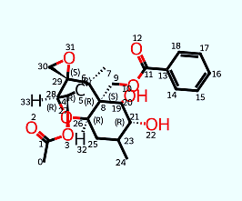 CC(=O)O[C@@H]1C[C@]2(C)[C@@]3(COC(=O)c4ccccc4)[C@H](O)[C@H](O)C(C)C[C@H]3O[C@H]1[C@@]21CO1